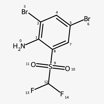 Nc1c(Br)cc(Br)cc1S(=O)(=O)C(F)F